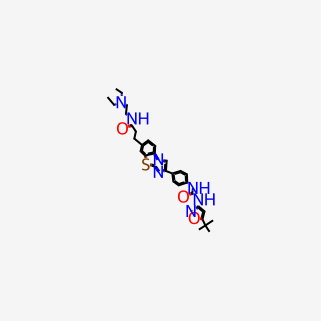 CCN(CC)CCNC(=O)CCc1ccc2c(c1)sc1nc(-c3ccc(NC(=O)Nc4cc(C(C)(C)C)on4)cc3)cn12